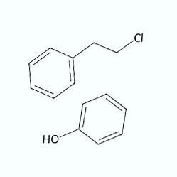 ClCCc1ccccc1.Oc1ccccc1